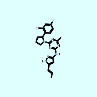 C/C=C/c1cc(Nc2nc(C)nc(N3CCCC3c3ccc(F)cc3Cl)n2)n[nH]1